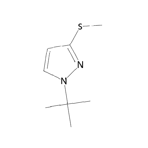 CSc1ccn(C(C)(C)C)n1